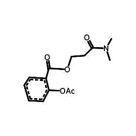 CC(=O)Oc1ccccc1C(=O)OCCC(=O)N(C)C